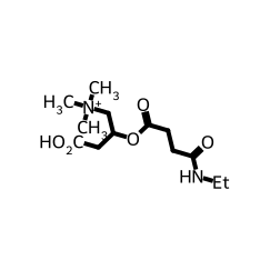 CCNC(=O)CCC(=O)OC(CC(=O)O)C[N+](C)(C)C